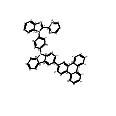 c1cnc(-c2nc3ccccc3n2-c2ccc(-n3c4ccccc4c4cc(-c5ccc6c7ccccc7c7ccccc7c6c5)ccc43)cc2)nc1